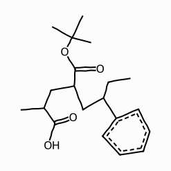 CCC(CC(CC(C)C(=O)O)C(=O)OC(C)(C)C)c1ccccc1